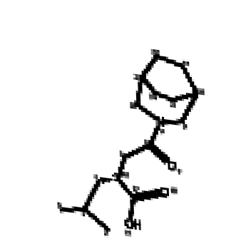 CC(C)C[C@H](CC(=O)N1CC2CCC(CC2)C1)C(=O)O